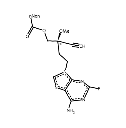 C#C[C@](CCn1cnc2c(N)nc(F)nc21)(COC(=O)CCCCCCCCC)OC